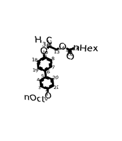 CCCCCCCCOc1ccc(-c2ccc(O[C@H](C)COC(=O)CCCCCC)cc2)cc1